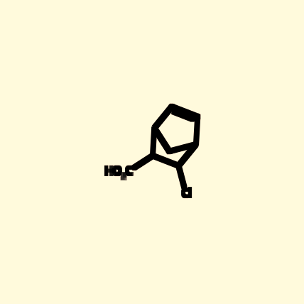 O=C(O)C1C2C=CC(C2)C1Cl